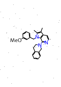 COc1cccc(Cn2c(C)c(C)c3c[c]nc(N4CCc5ccccc5C4)c32)c1